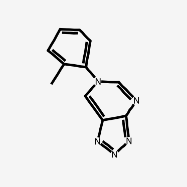 Cc1ccccc1-n1cnc2nnnc-2c1